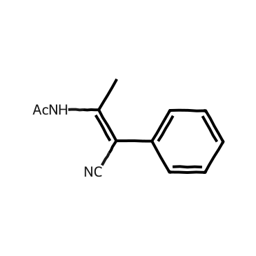 CC(=O)N/C(C)=C(\C#N)c1ccccc1